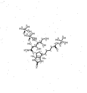 NC(=O)[C@H](O)[C@H](O)[C@H](O)[C@H](O)CO.O=C(O)CCCC[C@@H]1SC[C@@H]2NC(=O)N[C@@H]21.O=P(O)(O)O.O=P(O)(O)O.O=P(O)(O)O